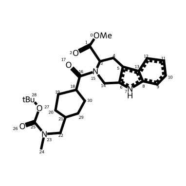 COC(=O)C1Cc2c([nH]c3ccccc23)CN1C(=O)C1CCC(CN(C)C(=O)OC(C)(C)C)CC1